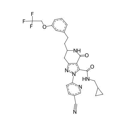 N#Cc1ccc(-n2nc3c(c2C(=O)NCC2CC2)C(=O)NC(CCc2cccc(OCC(F)(F)F)c2)C3)nc1